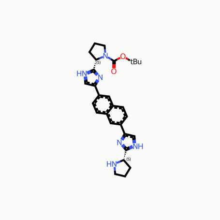 CC(C)(C)OC(=O)N1CCC[C@H]1c1nc(-c2ccc3cc(-c4c[nH]c([C@@H]5CCCN5)n4)ccc3c2)c[nH]1